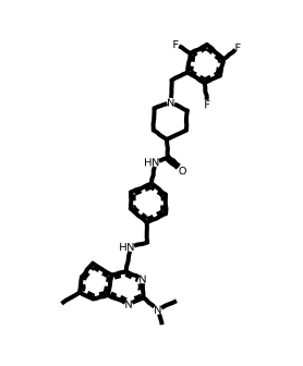 Cc1ccc2c(NCc3ccc(NC(=O)C4CCN(Cc5c(F)cc(F)cc5F)CC4)cc3)nc(N(C)C)nc2c1